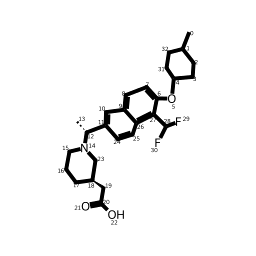 CC1CCC(Oc2ccc3cc([C@@H](C)N4CCC[C@H](CC(=O)O)C4)ccc3c2C(F)F)CC1